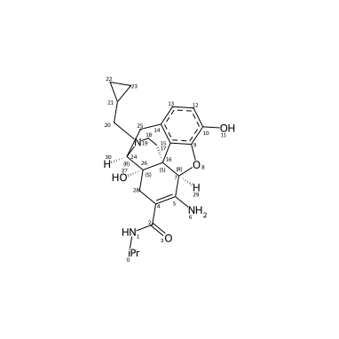 CC(C)NC(=O)C1=C(N)[C@@H]2Oc3c(O)ccc4c3[C@@]23CCN(CC2CC2)[C@H](C4)[C@]3(O)C1